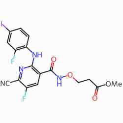 COC(=O)CCONC(=O)c1cc(F)c(C#N)nc1Nc1ccc(I)cc1F